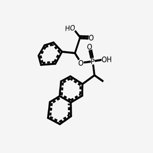 CC(c1ccc2ccccc2c1)P(=O)(O)OC(C(=O)O)c1ccccc1